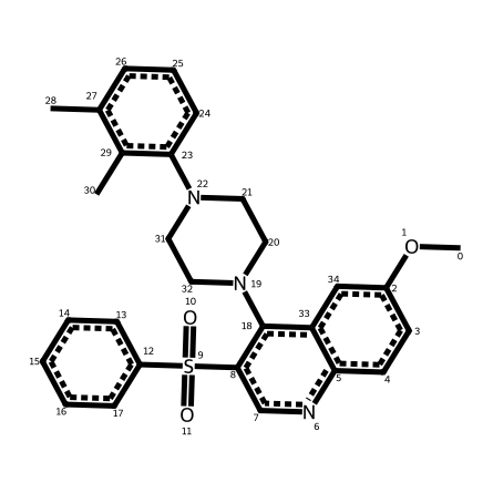 COc1ccc2ncc(S(=O)(=O)c3ccccc3)c(N3CCN(c4cccc(C)c4C)CC3)c2c1